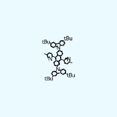 Cc1ccc(-c2c3ccc(-n4c5ccc(C(C)(C)C)cc5c5cc(C(C)(C)C)ccc54)cc3c(-c3ccc(C)nc3)c3ccc(-n4c5ccc(C(C)(C)C)cc5c5cc(C(C)(C)C)ccc54)cc23)nc1